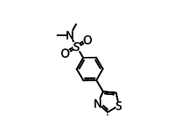 CN(C)S(=O)(=O)c1ccc(-c2cs[c]n2)cc1